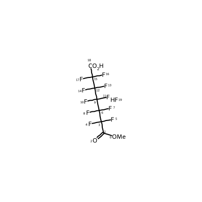 COC(=O)C(F)(F)C(F)(F)C(F)(F)C(F)(F)C(F)(F)C(=O)O.F